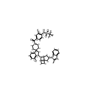 Cc1nc2ccccc2n1C1CC2N(CCC3(c4cccc(F)c4)CCN(C(=O)c4ccc(NS(=O)(=O)C(F)(F)F)c(F)c4)CC3)C3CCC32C1